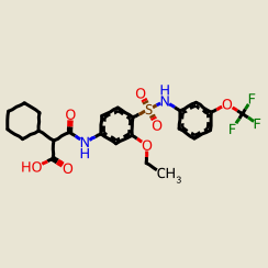 CCOc1cc(NC(=O)C(C(=O)O)C2CCCCC2)ccc1S(=O)(=O)Nc1cccc(OC(F)(F)F)c1